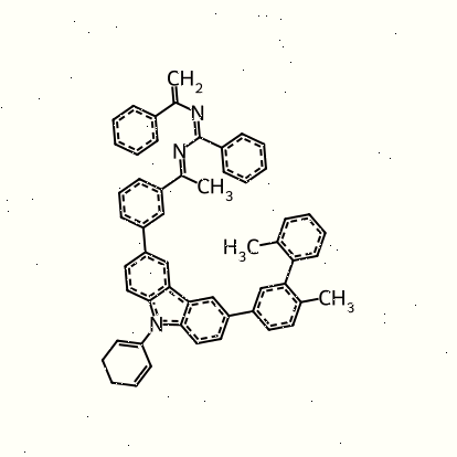 C=C(/N=C(\N=C(/C)c1cccc(-c2ccc3c(c2)c2cc(-c4ccc(C)c(-c5ccccc5C)c4)ccc2n3C2=CCCC=C2)c1)c1ccccc1)c1ccccc1